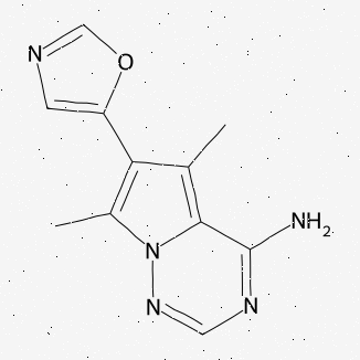 Cc1c(-c2cnco2)c(C)n2ncnc(N)c12